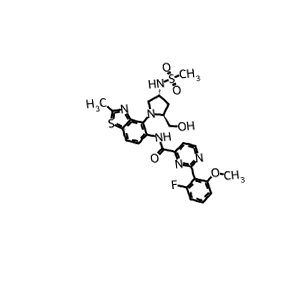 COc1cccc(F)c1-c1nccc(C(=O)Nc2ccc3sc(C)nc3c2N2C[C@H](NS(C)(=O)=O)C[C@H]2CO)n1